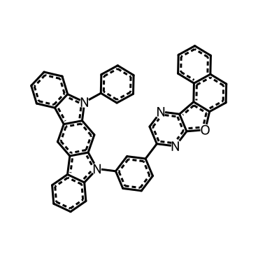 c1ccc(-n2c3ccccc3c3cc4c5ccccc5n(-c5cccc(-c6cnc7c(n6)oc6ccc8ccccc8c67)c5)c4cc32)cc1